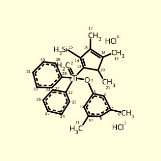 Cl.Cl.[CH2]=[Ti]([O]c1cc(C)cc(C)c1)([C]1=C([SiH3])C(C)=C(C)C1C)([c]1ccccc1)[c]1ccccc1